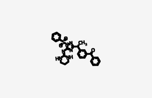 CC(c1cccc(C(=O)c2ccccc2)c1)c1nc(N=C2NCCCN2)n(S(=O)(=O)c2ccccc2)n1